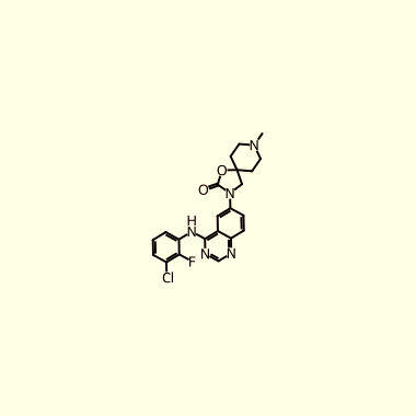 CN1CCC2(CC1)CN(c1ccc3ncnc(Nc4cccc(Cl)c4F)c3c1)C(=O)O2